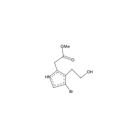 COC(=O)Cc1[nH]cc(Br)c1CCO